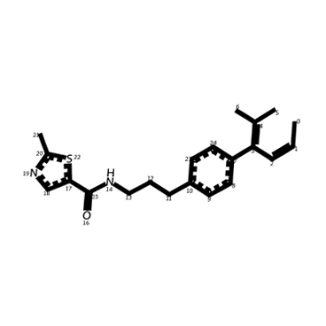 C/C=C\C(=C(C)C)c1ccc(CCCNC(=O)c2cnc(C)s2)cc1